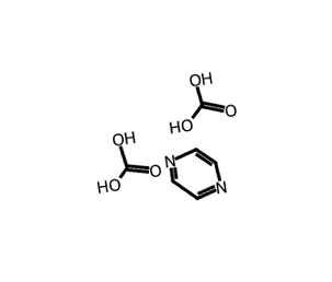 O=C(O)O.O=C(O)O.c1cnccn1